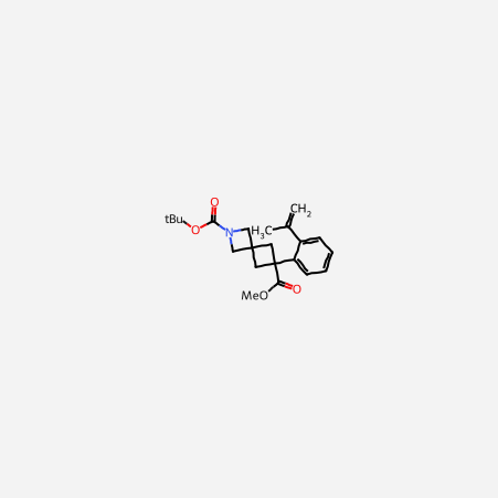 C=C(C)c1ccccc1C1(C(=O)OC)CC2(CN(C(=O)OC(C)(C)C)C2)C1